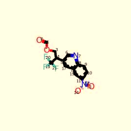 O=COCC(c1cnc2ccc([N+](=O)[O-])cc2c1)C(F)(F)F